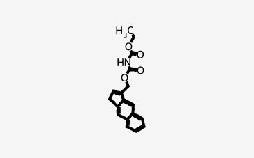 CCOC(=O)NC(=O)OCC1=CCc2cc3ccccc3cc21